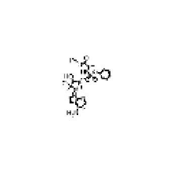 CC(C)OC(=O)[C@@H](C)N[P@@](=O)(OC[C@H]1O[C@@H](n2ccc3c(N)ncnc32)[C@](C)(Cl)[C@@H]1O)Oc1ccccc1